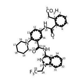 O=C(O)Cc1ccccc1C(=O)Nc1ccc(N2CCCCC2)c(C(=O)Nc2nn(CC(F)(F)F)c3ccccc23)c1